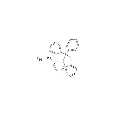 I.P.[I-].c1ccc(C[P+](c2ccccc2)(c2ccccc2)c2ccccc2)cc1